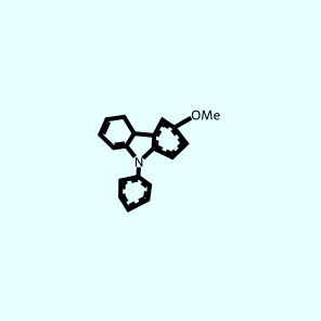 COc1ccc2c(c1)C1CC=CC=C1N2c1ccccc1